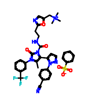 Cc1c(-c2ccnn2-c2ccc(C#N)cc2)n(C(=O)NCCc2ncc(C[N+](C)(C)C)o2)c(=O)n1-c1cccc(C(F)(F)F)c1.O=S(=O)([O-])c1ccccc1